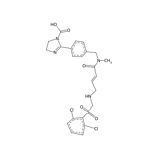 CN(Cc1ccc(C2=NCCN2C(=O)O)cc1)C(=O)C=CCNCS(=O)(=O)c1c(Cl)cccc1Cl